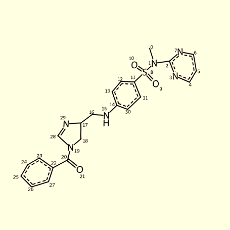 CN(c1ncccn1)S(=O)(=O)c1ccc(NCC2CN(C(=O)c3ccccc3)C=N2)cc1